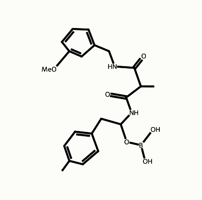 COc1cccc(CNC(=O)C(C)C(=O)NC(Cc2ccc(C)cc2)OB(O)O)c1